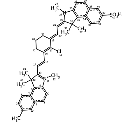 Cc1ccc2c3c(ccc2c1)[N+](C)=C(/C=C/C1=C(Cl)C(=C/C=C2/N(C)c4ccc5cc(S(=O)(=O)O)ccc5c4C2(C)C)/CCC1)C3(C)C